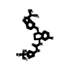 CC(C)c1nnc2ccc(O[C@@H]3CC[C@H](NC(=O)Nc4cnn(C(C)(C)C)c4)c4cc(F)ccc43)cn12